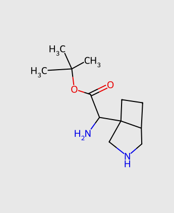 CC(C)(C)OC(=O)C(N)C12CCC1CNC2